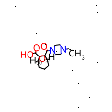 CCN1CCN(C(=O)C2C(C(=O)O)[C@H]3CCC[C@@H]2O3)CC1